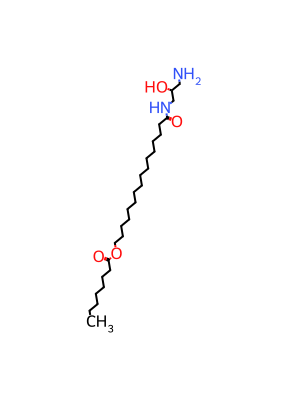 CCCCCCCC(=O)OCCCCCCCCCCCCCCCC(=O)NCC(O)CN